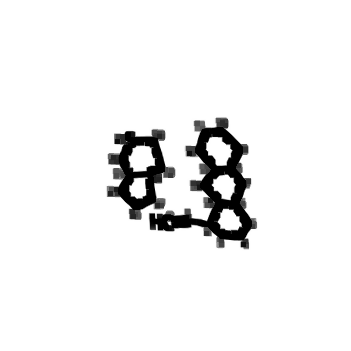 C#Cc1cccc2cc3ccccc3cc12.c1cc2ccscc-2c1